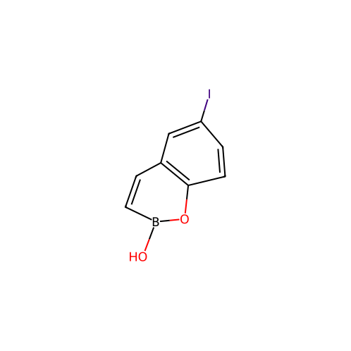 OB1C=Cc2cc(I)ccc2O1